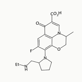 CCNCC1CCCN1c1c(F)cc2c(=O)c(C(=O)O)cn3c2c1OCC3C